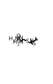 CC(C)c1nc(CSCC/C(N)=N/S(N)(=O)=O)cs1